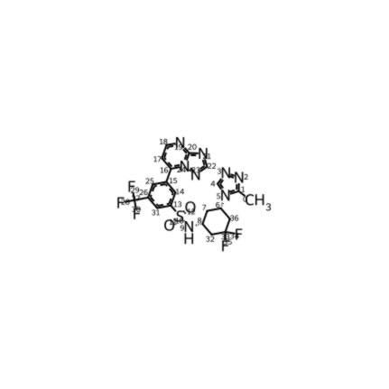 Cc1nncn1[C@H]1C[C@@H](NS(=O)(=O)c2cc(-c3ccnc4ncnn34)cc(C(F)(F)F)c2)CC(F)(F)C1